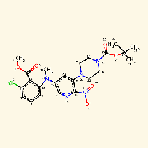 COC(=O)c1c(Cl)cccc1N(C)c1cnc([N+](=O)[O-])c(N2CCN(C(=O)OC(C)(C)C)CC2)c1